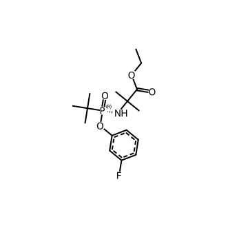 CCOC(=O)C(C)(C)N[P@](=O)(Oc1cccc(F)c1)C(C)(C)C